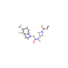 C=CC(=O)N1CC(N(C)C(=O)Cn2ccc3c(C)c(Br)ccc32)C1